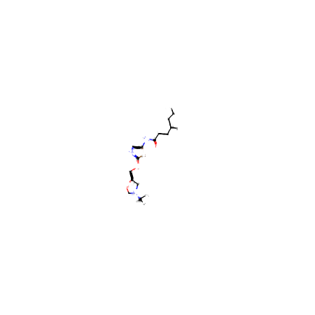 CCCC(C)CCC(=O)Nc1cnc(OC=C2CN(C(C)(C)C)CO2)s1